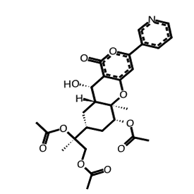 CC(=O)OC[C@@](C)(OC(C)=O)[C@@H]1C[C@@H]2[C@H](O)c3c(cc(-c4cccnc4)oc3=O)O[C@@]2(C)[C@H](OC(C)=O)C1